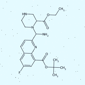 CCOC(=O)C1CNCCN1C(N)c1ccc2cc(F)cc(C(=O)OC(C)(C)C)c2n1